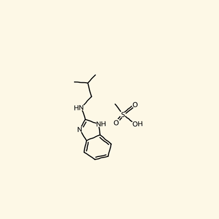 CC(C)CNc1nc2ccccc2[nH]1.CS(=O)(=O)O